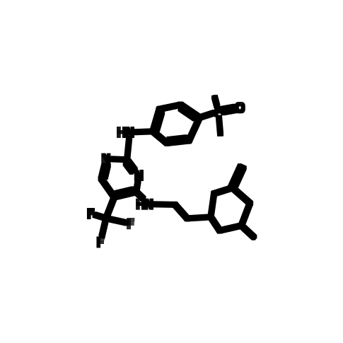 C=C1CC(C)CC(CCNc2nc(Nc3ccc(P(C)(C)=O)cc3)ncc2C(F)(F)F)C1